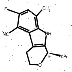 CCC[C@H]1OCCc2c1[nH]c1c(C)cc(F)c(C#N)c21